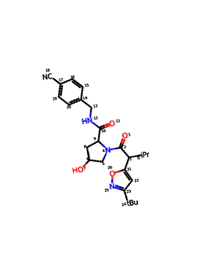 CC(C)C(C(=O)N1CC(O)CC1C(=O)NCc1ccc(C#N)cc1)c1cc(C(C)(C)C)no1